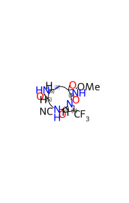 COC(=O)N[C@@H]1C(=O)N2C[C@H](C(F)(F)F)C[C@H]2C(=O)NC(C#N)C[C@@H]2C[C@@H](/C=C/CC1(C)C)NC2=O